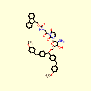 COc1ccc(Cc2ccc(C(OC[C@@H]3O[C@H](n4ccc(=O)n(C(=O)CNC(=O)OCC5c6ccccc6-c6ccccc65)c4=O)C(N)C3O)c3ccc(Cc4ccc(OC)cc4)cc3)cc2)cc1